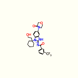 O=C(/N=c1\[nH]c2cc(N3CCOCC3=O)ccc2n1C1(CCO)CCCCC1)c1cccc(C(F)(F)F)c1